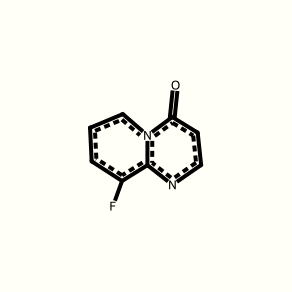 O=c1ccnc2c(F)cccn12